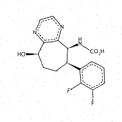 O=C(O)N[C@@H]1c2nccnc2[C@H](O)CC[C@@H]1c1cccc(F)c1F